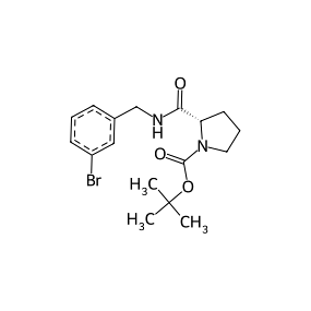 CC(C)(C)OC(=O)N1CCC[C@H]1C(=O)NCc1cccc(Br)c1